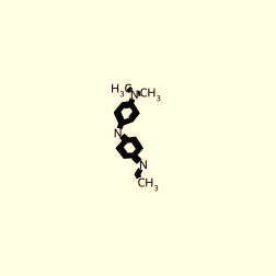 CCN=C1C=CC(=Nc2ccc(N(C)C)cc2)C=C1